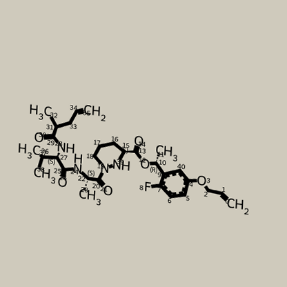 C=CCOc1ccc(F)c([C@@H](C)OC(=O)[C@@H]2CCCN(C(=O)[C@H](C)NC(=O)[C@@H](NC(=O)C(C)CC=C)C(C)C)N2)c1